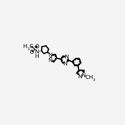 Cn1cc(-c2cccc(-c3ncc(-c4cnn(C5CCC[C@@H](NS(C)(=O)=O)C5)c4)cn3)c2)cn1